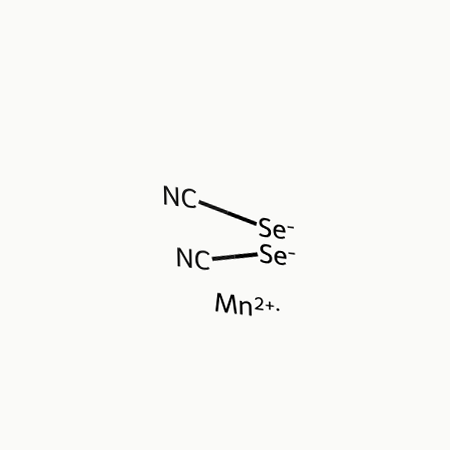 N#C[Se-].N#C[Se-].[Mn+2]